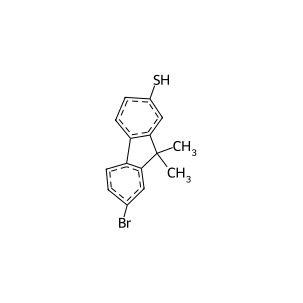 CC1(C)c2cc(S)ccc2-c2ccc(Br)cc21